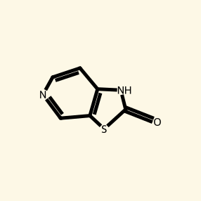 O=c1[nH]c2ccncc2s1